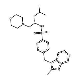 Cc1nc2cnccc2n1Cc1ccc(S(=O)(=O)N[C@@H](CC(C)C)CN2CCOCC2)cc1